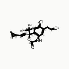 O=CCc1cc2c(cc1Cl)[C@@](C#CC1CC1)(C(F)(F)F)OC(=O)N2